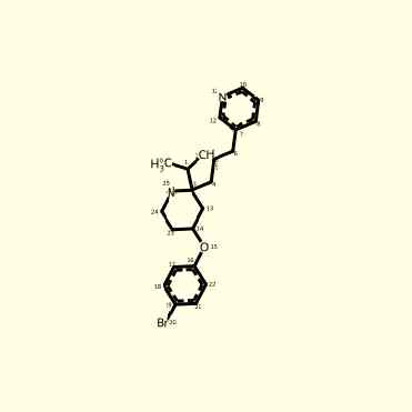 CC(C)C1(CCCc2cccnc2)CC(Oc2ccc(Br)cc2)CC[N]1